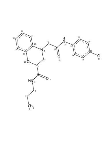 CCCNC(=O)C1CN(CC(=O)Nc2ccc(Cl)cc2)c2ccccc2O1